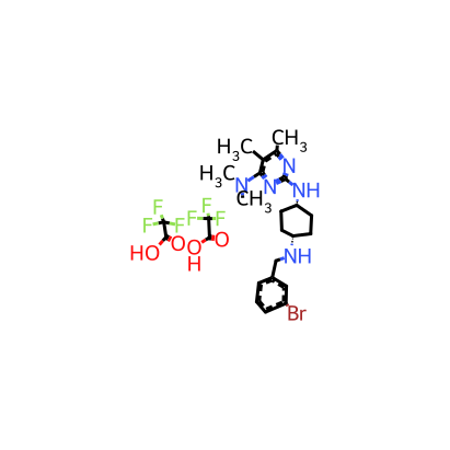 Cc1nc(N[C@H]2CC[C@@H](NCc3cccc(Br)c3)CC2)nc(N(C)C)c1C.O=C(O)C(F)(F)F.O=C(O)C(F)(F)F